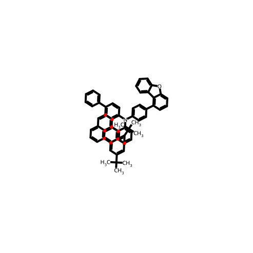 CC(C)(C)C1=CC2C(=C2C(C)(C)C)C(c2cccc3cccc(-c4ccccc4N(c4ccc(-c5cccc6oc7ccccc7c56)cc4)c4ccc(-c5ccccc5)cc4-c4ccccc4)c23)=C1